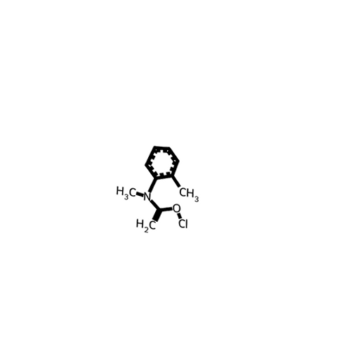 C=C(OCl)N(C)c1ccccc1C